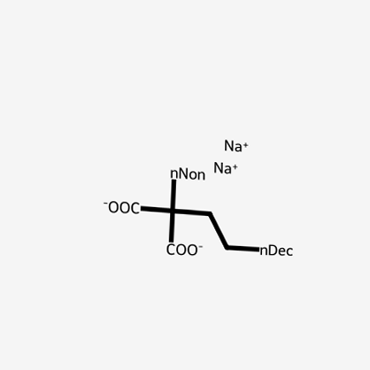 CCCCCCCCCCCCC(CCCCCCCCC)(C(=O)[O-])C(=O)[O-].[Na+].[Na+]